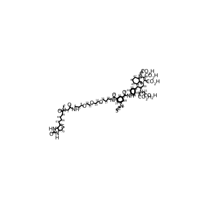 CN(CC(=O)NCCCOCCOCCOCCCNC(=O)c1cc(N=C=S)cc(C(=O)Nc2ccc(CC(CN(CC(=O)O)C3CCCCC3N(CC(=O)O)CC(=O)O)N(CC(=O)O)CC(=O)O)cc2)c1)C(=O)CCCCC1SCC2NC(=O)NC21